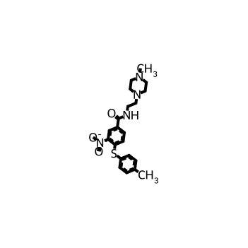 Cc1ccc(Sc2ccc(C(=O)NCCN3CCN(C)CC3)cc2[N+](=O)[O-])cc1